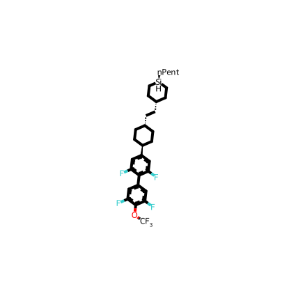 CCCCC[Si@H]1CC[C@H](CC[C@H]2CC[C@H](c3cc(F)c(-c4cc(F)c(OC(F)(F)F)c(F)c4)c(F)c3)CC2)CC1